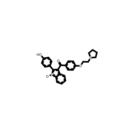 O=C(c1ccc(OCCN2CCCC2)cc1)c1c(-c2ccc(O)cc2)[s+]([O-])c2ccccc12